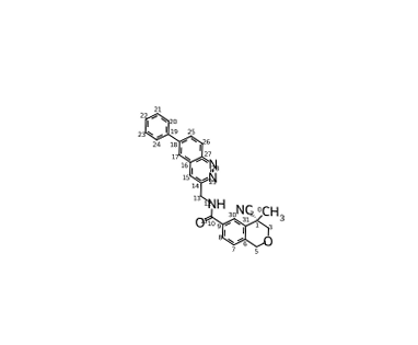 C[C@@]1(C#N)COCc2ccc(C(=O)NCc3cc4cc(-c5ccccc5)ccc4nn3)cc21